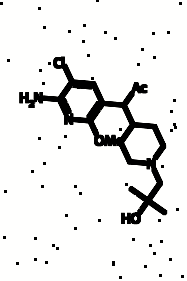 COc1nc(N)c(Cl)cc1C(C(C)=O)C1CCN(CC(C)(C)O)CC1